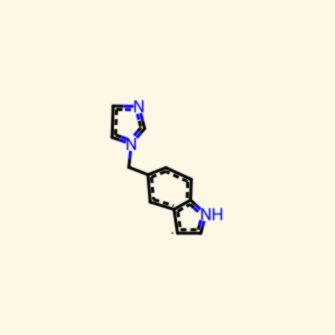 [c]1c[nH]c2ccc(Cn3ccnc3)cc12